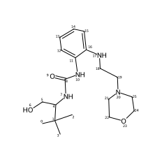 CC(C)(C)C(CO)NC(=O)Nc1ccccc1NCCN1CCOCC1